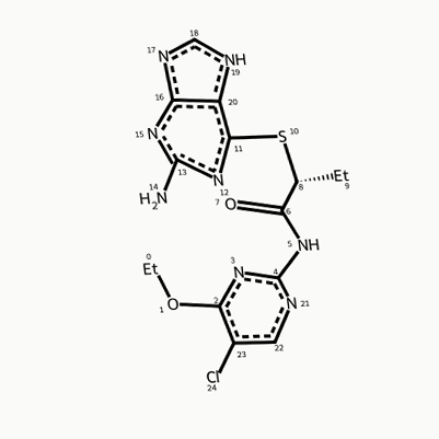 CCOc1nc(NC(=O)[C@@H](CC)Sc2nc(N)nc3nc[nH]c23)ncc1Cl